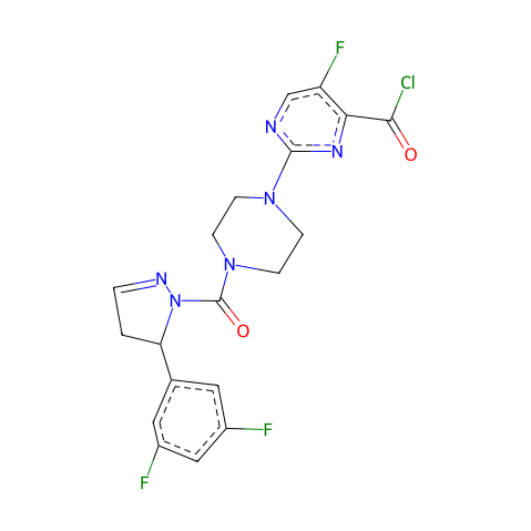 O=C(Cl)c1nc(N2CCN(C(=O)N3N=CCC3c3cc(F)cc(F)c3)CC2)ncc1F